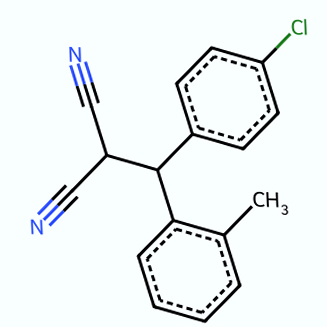 Cc1ccccc1C(c1ccc(Cl)cc1)C(C#N)C#N